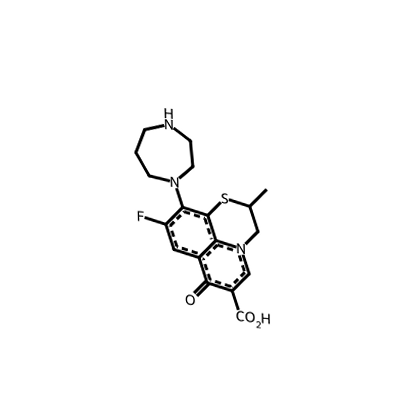 CC1Cn2cc(C(=O)O)c(=O)c3cc(F)c(N4CCCNCC4)c(c32)S1